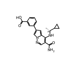 C[C@@H](Nc1c(C(N)=O)cnn2cc(-c3cccc(C(=O)O)c3)cc12)C1CC1